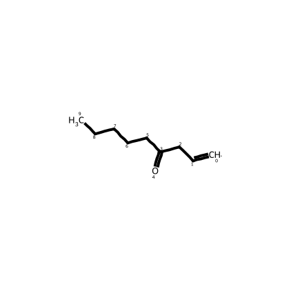 [CH]=CCC(=O)CCCCC